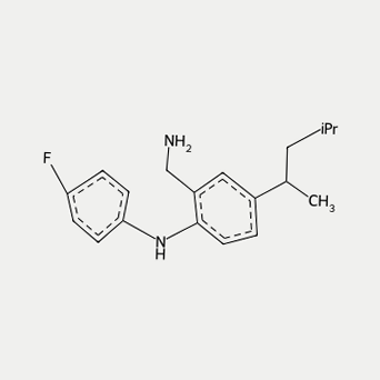 CC(C)CC(C)c1ccc(Nc2ccc(F)cc2)c(CN)c1